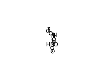 CO[C@H]1CC[C@H](NC(=O)N2CCC(n3ncc4cc(OC5CC5)ccc43)CC2)CC1